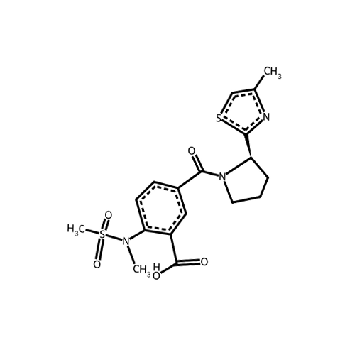 Cc1csc([C@H]2CCCN2C(=O)c2ccc(N(C)S(C)(=O)=O)c(C(=O)O)c2)n1